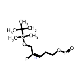 CC(C)(C)[Si](C)(C)OC/C(F)=C\CCOP=O